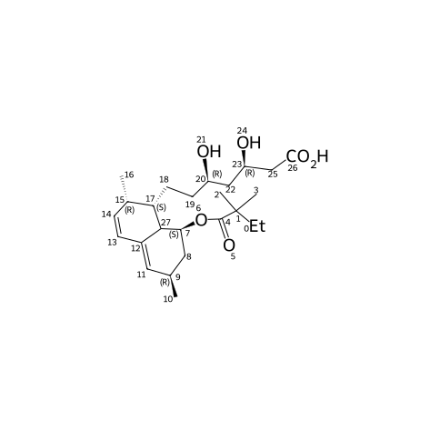 CCC(C)(C)C(=O)O[C@H]1C[C@@H](C)C=C2C=C[C@H](C)[C@H](CC[C@@H](O)C[C@@H](O)CC(=O)O)C21